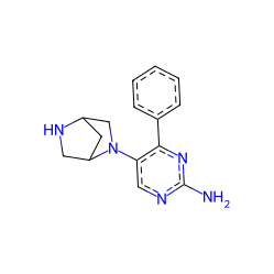 Nc1ncc(N2CC3CC2CN3)c(-c2ccccc2)n1